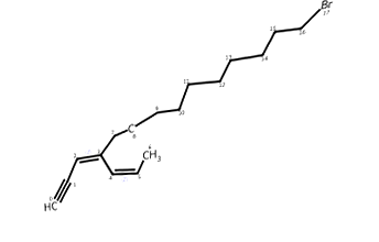 C#C/C=C(\C=C/C)CCCCCCCCCCBr